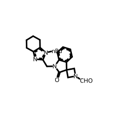 CCCCn1c(CN2C(=O)C3(CN(C=O)C3)c3ccccc32)nc2c1CCCC2